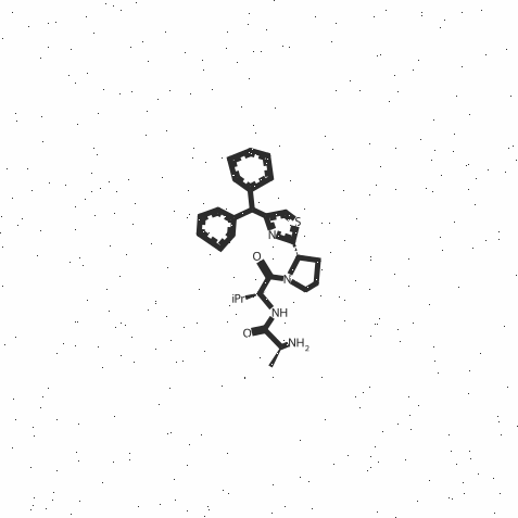 CC(C)[C@H](NC(=O)[C@H](C)N)C(=O)N1CCC[C@H]1c1nc(C(c2ccccc2)c2ccccc2)cs1